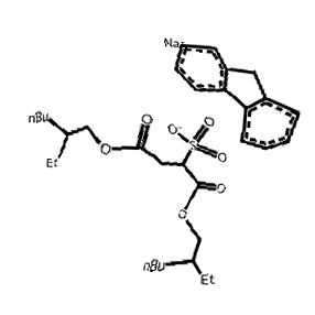 CCCCC(CC)COC(=O)CC(C(=O)OCC(CC)CCCC)S(=O)(=O)[O-].[Na+].c1ccc2c(c1)Cc1ccccc1-2